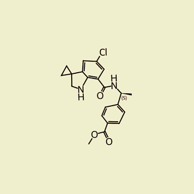 COC(=O)c1ccc([C@H](C)NC(=O)c2cc(Cl)cc3c2NCC32CC2)cc1